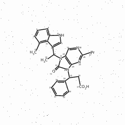 Cc1cccc2[nH]cc(C(C)n3c(=O)n(C(CC(=O)O)c4ccccc4)c4nc(C(C)C)ncc43)c12